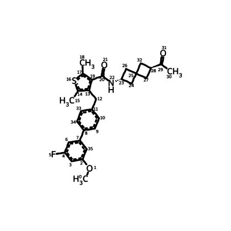 COc1cc(F)cc(-c2ccc(Cc3c(C)sc(C)c3C(=O)N[C@H]3CC4(C3)C[C@H](C(C)=O)C4)cc2)c1